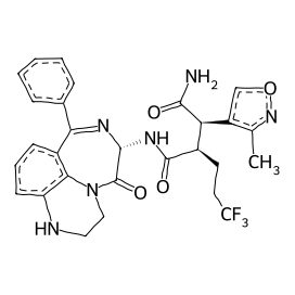 Cc1nocc1[C@H](C(N)=O)[C@@H](CCC(F)(F)F)C(=O)N[C@H]1N=C(c2ccccc2)c2cccc3c2N(CCN3)C1=O